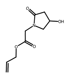 C=CCOC(=O)CN1CC(O)CC1=O